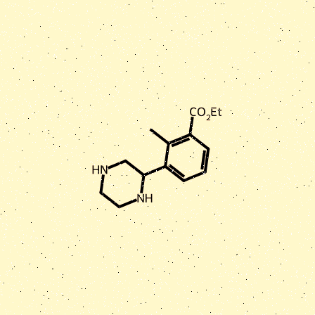 CCOC(=O)c1cccc(C2CNCCN2)c1C